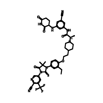 CCc1cc(N2C(=S)N(c3cnc(C#N)c(C(F)(F)F)c3)C(=O)C2(C)C)ccc1OCCC1CCN([C@H](C)C(=O)Nc2cc(C#N)cc(NC3CCC(=O)NC3=O)c2)CC1